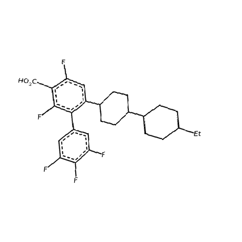 CCC1CCC(C2CCC(c3cc(F)c(C(=O)O)c(F)c3-c3cc(F)c(F)c(F)c3)CC2)CC1